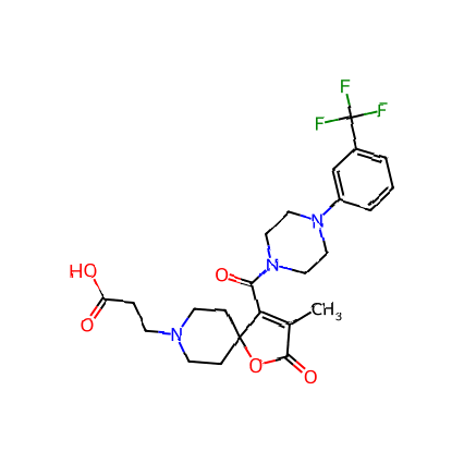 CC1=C(C(=O)N2CCN(c3cccc(C(F)(F)F)c3)CC2)C2(CCN(CCC(=O)O)CC2)OC1=O